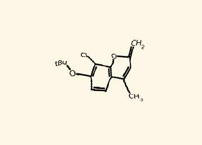 C=C1C=C(C)c2ccc(OC(C)(C)C)c(Cl)c2O1